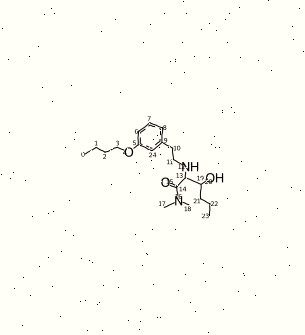 CCCCOc1cccc(CCNC(C(=O)N(C)C)C(O)CCC)c1